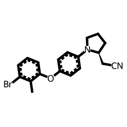 Cc1c(Br)cccc1Oc1ccc(N2CCC[C@H]2CC#N)cc1